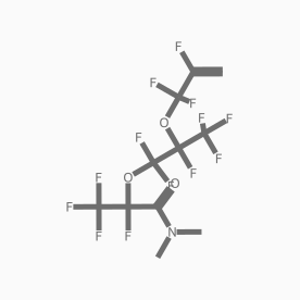 C=C(F)C(F)(F)OC(F)(C(F)(F)F)C(F)(F)OC(F)(C(=O)N(C)C)C(F)(F)F